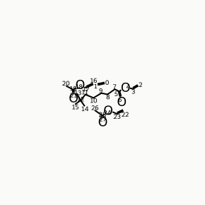 C=C.C=COC(=O)CCCCCC(C)(C)C.C=COC(C)=O.C=COC(C)=O